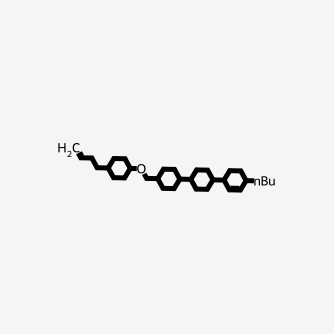 C=CCCC1CCC(OCC2CCC(C3CCC(C4C=CC(CCCC)CC4)CC3)CC2)CC1